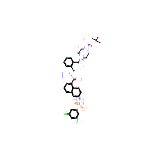 CC(C)(C)OC(=O)N1CCN(C(=O)c2ccccc2CNC(=O)c2cccc3cc(NS(=O)(=O)c4cc(Cl)cc(Cl)c4)ccc23)CC1